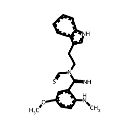 CNc1ccc(OC)cc1C(=N)N(C=S)CCc1c[nH]c2ccccc12